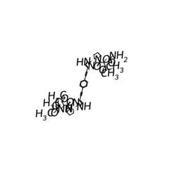 COC(=O)N[C@H](C(=O)N1CCC[C@H]1c1nc(C#Cc2ccc(C#Cc3c[nH]c([C@@H]4CCCN4C(=O)[C@@H](OC(N)=O)[C@@H](C)OC)n3)cc2)c[nH]1)[C@@H](C)OC